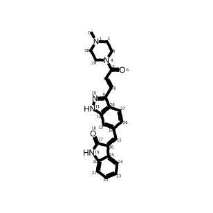 CN1CCN(C(=O)C=Cc2n[nH]c3cc(C=C4C(=O)Nc5ccccc54)ccc23)CC1